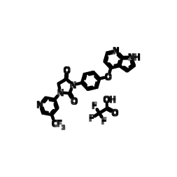 O=C(O)C(F)(F)F.O=C1CN(c2cncc(C(F)(F)F)c2)C(=O)N1c1ccc(Oc2ccnc3[nH]ccc23)cc1